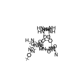 CNC(=N)NCCOc1ccc2cc1-c1cc(ccc1OCCNC(=N)NC)[C@H](N(C)C(=O)[C@H](CCN)NC(=O)c1c(C)nc(-c3ccc(C(C)(C)C)cc3)nc1C)C(=O)N[C@@H](C)C(=O)N[C@H](C(=O)NCC#N)C2